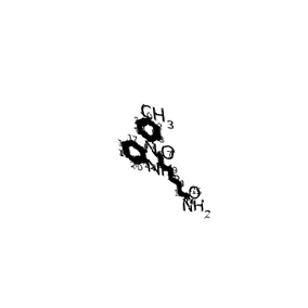 Cc1ccc(N(C(=O)CCCCCC(N)=O)c2ccccc2N)cc1